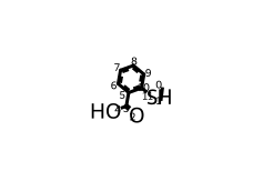 CC.O=C(O)c1ccccc1S